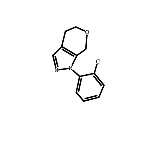 Clc1ccccc1-n1ncc2c1COCC2